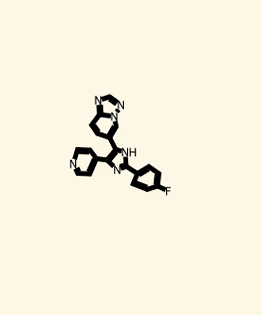 Fc1ccc(-c2nc(-c3ccncc3)c(-c3ccc4ncnn4c3)[nH]2)cc1